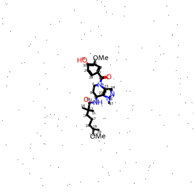 COc1cc(C(=O)N2CCC(NC(=O)C(C)(C)CCCC(C)OC)c3c2cnn3C)ccc1O